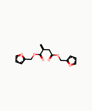 C=C(CC(=O)OCc1ccco1)C(=O)OCc1ccco1